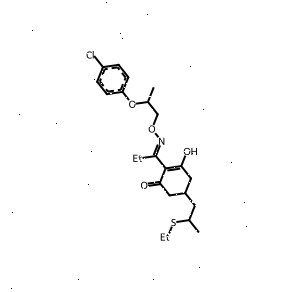 CCSC(C)CC1CC(=O)C(/C(CC)=N/OCC(C)Oc2ccc(Cl)cc2)=C(O)C1